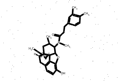 Cc1ccc(CCC(=O)N(C)C2C(C)C[C@@]3(O)[C@H]4Cc5ccc(O)c6c5[C@@]3(CCN4C)C2O6)cc1C